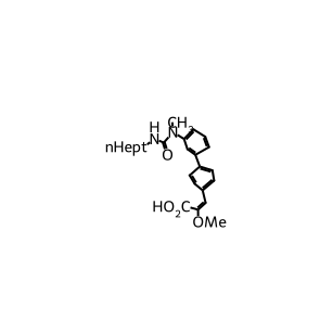 CCCCCCCNC(=O)N(C)c1cccc(-c2ccc(C=C(OC)C(=O)O)cc2)c1